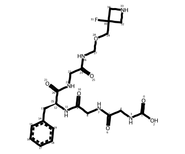 O=C(O)NCC(=O)NCC(=O)N[C@@H](Cc1ccccc1)C(=O)NCC(=O)NCOCC1(F)CNC1